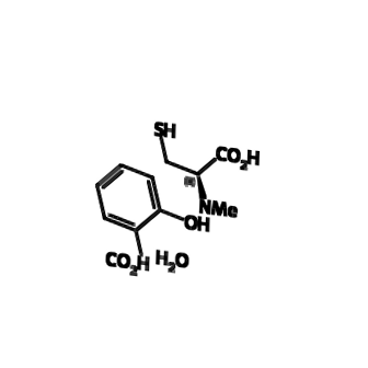 CN[C@@H](CS)C(=O)O.O.O=C(O)c1ccccc1O